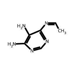 C/C=N\c1ncnc(N)c1N